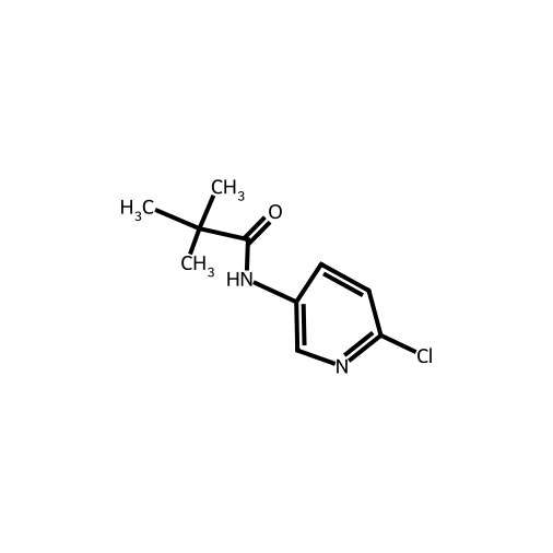 CC(C)(C)C(=O)Nc1ccc(Cl)nc1